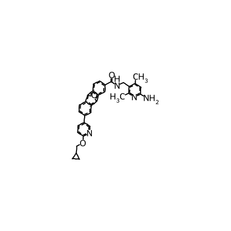 Cc1cc(N)nc(C)c1CNC(=O)c1ccc2c(c1)c1oc2c2ccc(-c3ccc(OCC4CC4)nc3)cc21